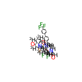 [2H]c1c(C)c([2H])c2c(=O)c([2H])c(SC([2H])([2H])c3cccc(F)c3F)n(CC(=O)N(Cc3ccc(-c4ccc(C(F)(F)F)cc4)cc3)C3([2H])C([2H])([2H])C([2H])([2H])N(CC([2H])([2H])OC)C([2H])([2H])C3([2H])[2H])c2c1[2H]